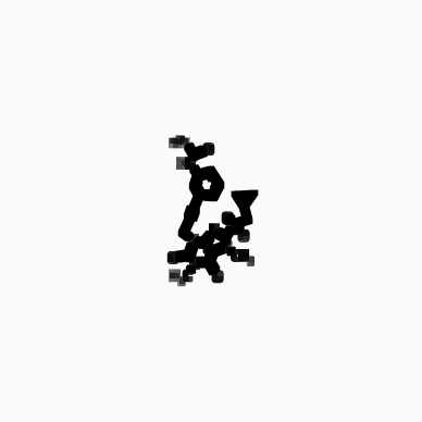 CCCC(=O)Nc1cccc(C#CCn2c(=O)n(C)c(=O)c3c2nc(S(=O)(=O)CC2CC2)n3C)c1